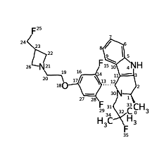 C[C@@H]1Cc2[nH]c3ccccc3c2[C@@H](c2c(F)cc(OCCN3CC(CF)C3)cc2F)N1CC(C)(C)F